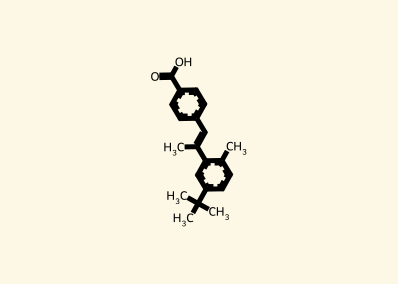 C/C(=C\c1ccc(C(=O)O)cc1)c1cc(C(C)(C)C)ccc1C